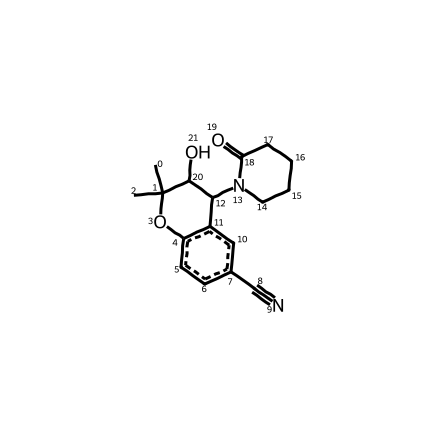 CC1(C)Oc2ccc(C#N)cc2C(N2CCCCC2=O)C1O